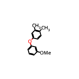 COc1cccc(Oc2ccc(C)c(C)c2)c1